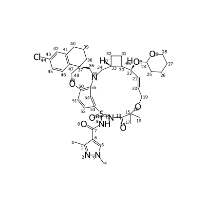 Cc1nn(C)cc1C(=O)NS1(=O)=NC(=O)C(C)(C)OC/C=C/[C@H](OC2CCCCO2)[C@@H]2CC[C@H]2CN2C[C@@]3(CCCc4cc(Cl)ccc43)COc3ccc1cc32